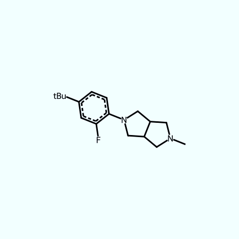 CN1CC2CN(c3ccc(C(C)(C)C)cc3F)CC2C1